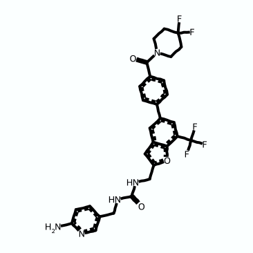 Nc1ccc(CNC(=O)NCc2cc3cc(-c4ccc(C(=O)N5CCC(F)(F)CC5)cc4)cc(C(F)(F)F)c3o2)cn1